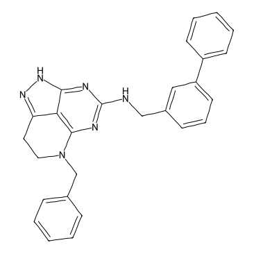 c1ccc(CN2CCc3n[nH]c4nc(NCc5cccc(-c6ccccc6)c5)nc2c34)cc1